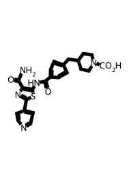 NC(=O)c1nc(-c2ccncc2)sc1NC(=O)c1ccc(CC2CCN(C(=O)O)CC2)cc1